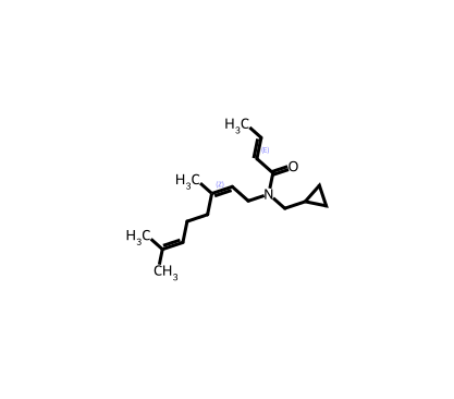 C/C=C/C(=O)N(C/C=C(/C)CCC=C(C)C)CC1CC1